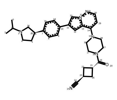 CC(C)N1CC[C@H](c2ccc(-c3cc4c(N5CCN(C(=O)[C@H]6C[C@H](C#N)C6)CC5)ccnn4c3)cc2)C1